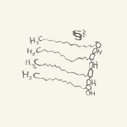 CCCCCCCCCCCCCCCCc1ccccc1O.CCCCCCCCCCCCCCCCc1ccccc1O.CCCCCCCCCCCCCCCCc1ccccc1O.CCCCCCCCCCCCCCCCc1ccccc1O.[S-2].[S-2]